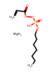 C=CC(=O)OOP(=O)(O)OCCCCCCC.[MgH2]